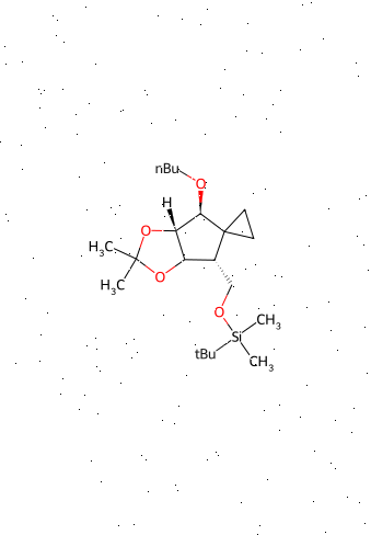 CCCCO[C@@H]1[C@H]2OC(C)(C)OC2[C@@H](CO[Si](C)(C)C(C)(C)C)C12CC2